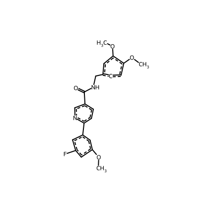 COc1cc(F)cc(-c2ccc(C(=O)NCc3ccc(OC)c(OC)c3)cn2)c1